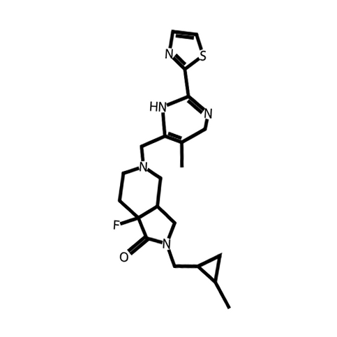 CC1=C(CN2CCC3(F)C(=O)N(CC4CC4C)CC3C2)NC(c2nccs2)=NC1